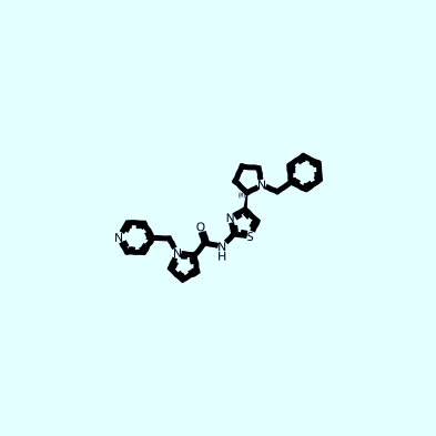 O=C(Nc1nc([C@H]2CCCN2Cc2ccccc2)cs1)c1cccn1Cc1ccncc1